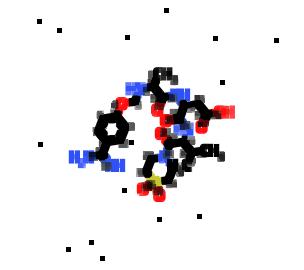 CC(NCOc1ccc(C(=N)N)cc1)C(=O)N[C@@H](CC(=O)O)C(=O)N[C@@H](C(=O)N1CCS(=O)(=O)CC1)C(C)C